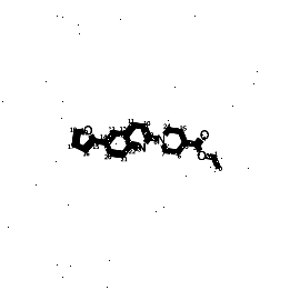 CCOC(=O)C1CCN(c2ccc3cc(-c4ccco4)ccc3n2)CC1